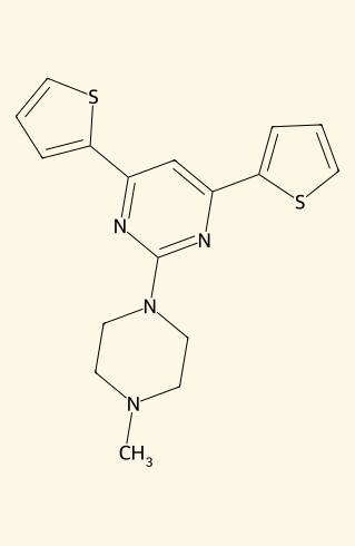 CN1CCN(c2nc(-c3cccs3)cc(-c3cccs3)n2)CC1